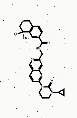 C[C@@]1(C#N)COCc2ccc(C(=O)NCc3cc4nc(N5CCCN(C6CC6)C5=O)ccc4cn3)cc21